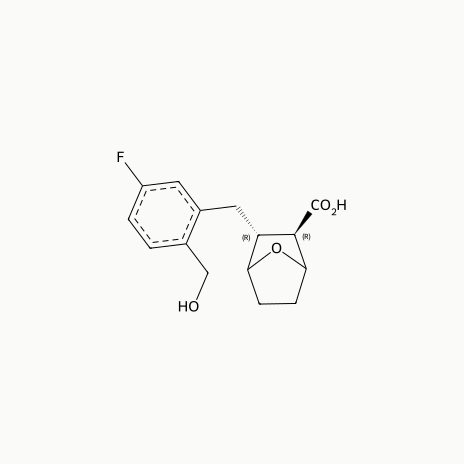 O=C(O)[C@H]1C2CCC(O2)[C@@H]1Cc1cc(F)ccc1CO